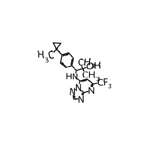 CC1(c2ccc(C(Nc3cc(C(F)(F)F)nc4ncnn34)C(C)(C)O)cc2)CC1